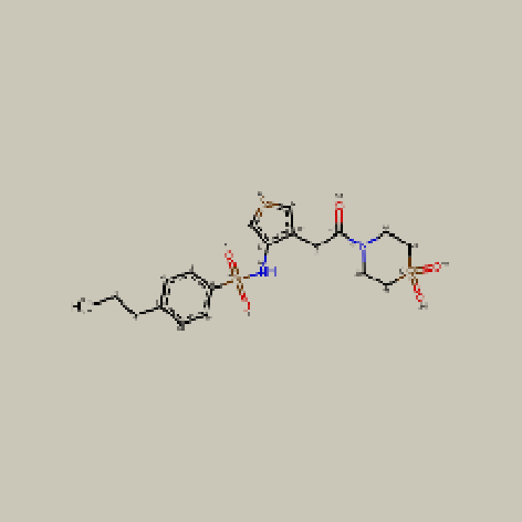 CCCc1ccc(S(=O)(=O)Nc2cscc2CC(=O)N2CCS(=O)(=O)CC2)cc1